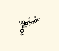 CN(C)C1CCC(CNC(=O)C23CCC(NC(=O)COc4ccc(Cl)c(F)c4)(CC2)CC3O)CC1